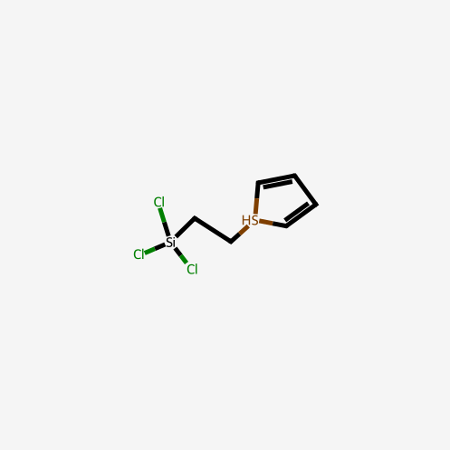 Cl[Si](Cl)(Cl)CC[SH]1C=CC=C1